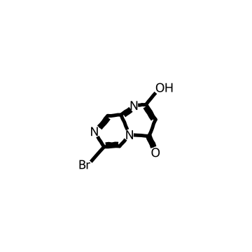 O=c1cc(O)nc2cnc(Br)cn12